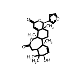 CC1(C)C2CC(=O)O[C@@]3(C)C4=CC(=O)O[C@@H](c5ccoc5)[C@]4(C)CCC3[C@@]2(C)C=C[C@H]1O